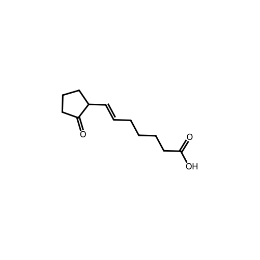 O=C(O)CCCCC=CC1CCCC1=O